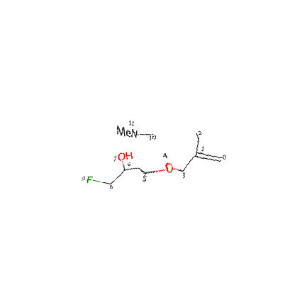 C=C(C)COCC(O)CF.CNC